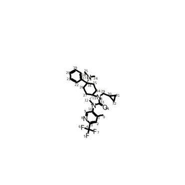 Cc1cc(C(F)(F)F)ncc1N1C[C@]2(CC[C@@](c3ccccc3)(N(C)C)CC2)N(CC2CC2)C1=O